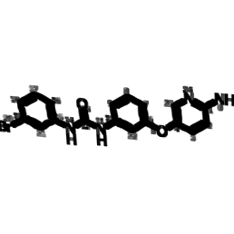 Nc1ccc(Oc2cccc(NC(=O)Nc3cccc(Br)c3)c2)cn1